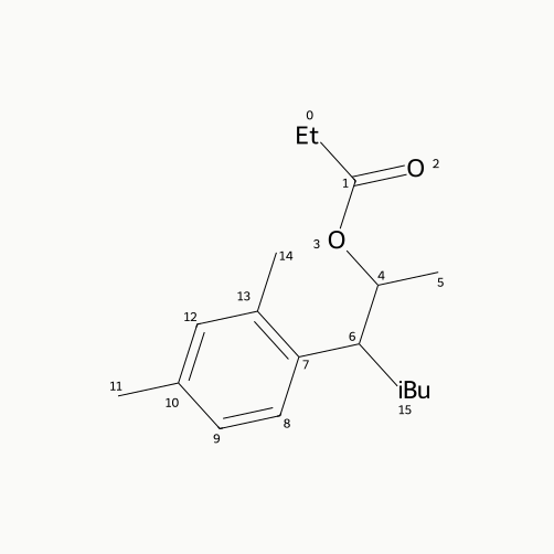 CCC(=O)OC(C)C(c1ccc(C)cc1C)C(C)CC